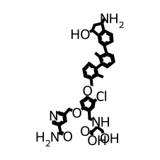 Cc1c(COc2cc(OCc3cncc(C(N)=O)c3)c(CNC(CO)C(=O)O)cc2Cl)cccc1-c1cccc(-c2ccc3c(c2)C(O)CC3N)c1C